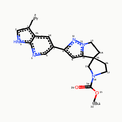 CC(C)c1c[nH]c2ncc(-c3cc4n(n3)CCC43CCN(C(=O)OC(C)(C)C)C3)cc12